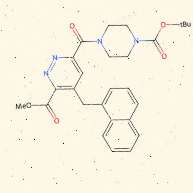 COC(=O)c1nnc(C(=O)N2CCN(C(=O)OC(C)(C)C)CC2)cc1Cc1cccc2ccccc12